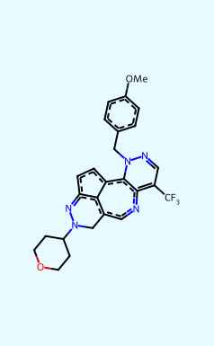 COc1ccc(CN2N=CC(C(F)(F)F)=c3ncc4c5c(ccc-5c32)=NN(C2CCOCC2)C4)cc1